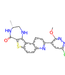 COc1nnc(Cl)cc1-c1ccc2c(ccc3sc4c(c32)NC[C@@H](C)NC4=O)n1